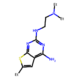 CCc1cc2c(N)nc(NCCN(CC)CC)nc2s1